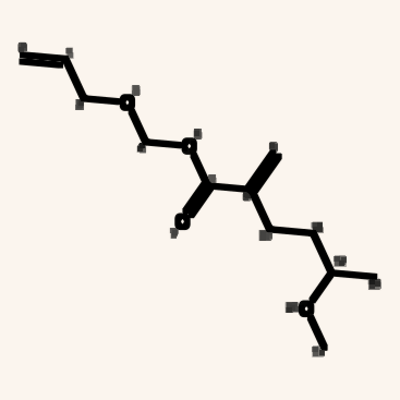 C=CCOCOC(=O)C(=C)CCC(C)OC